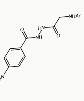 CC(=O)NCC(=O)NNC(=O)c1ccc([N+](=O)[O-])cc1